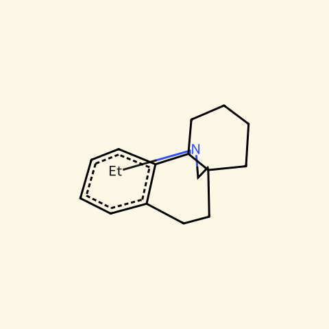 CCN1CCC23CCCCC12c1ccccc1CC3